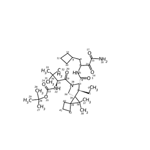 CC[C@@H]1[C@@H](C(=O)NC(CC2CCC2)C(=O)C(N)=O)N(C(=O)[C@@H](NC(=O)OC(C)(C)C)C(C)(C)C)C[C@@]12C(C)(C)C21CCC1